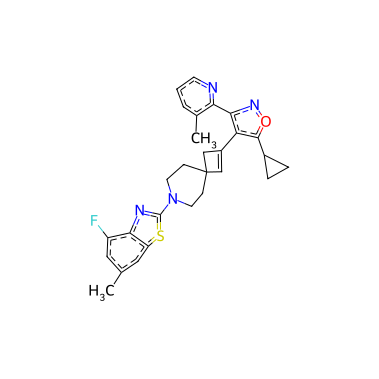 Cc1cc(F)c2nc(N3CCC4(C=C(c5c(-c6ncccc6C)noc5C5CC5)C4)CC3)sc2c1